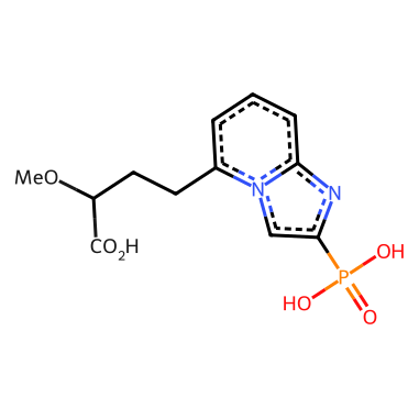 COC(CCc1cccc2nc(P(=O)(O)O)cn12)C(=O)O